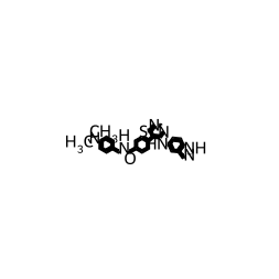 CN(C)c1ccc(CNC(=O)C2CCc3c(sc4ncnc(Nc5ccc6[nH]ncc6c5)c34)C2)cc1